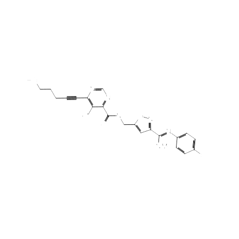 CN/C(=N\c1ccc(C(F)(F)F)cc1)c1cc(CNC(=O)c2ncnc(C#CCCCO)c2Cl)on1